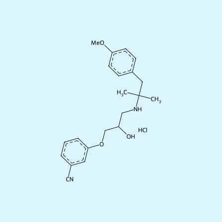 COc1ccc(CC(C)(C)NCC(O)COc2cccc(C#N)c2)cc1.Cl